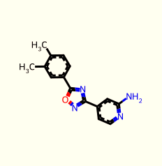 Cc1ccc(-c2nc(-c3ccnc(N)c3)no2)cc1C